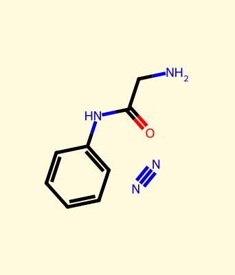 N#N.NCC(=O)Nc1ccccc1